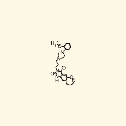 COc1ccccc1N1CCN(CCCn2c(=O)[nH]c3cc4c(cc3c2=O)OOCCC4)CC1